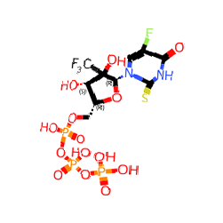 O=c1[nH]c(=S)n([C@@H]2O[C@H](COP(=O)(O)OP(=O)(O)OP(=O)(O)O)[C@H](O)C2(O)C(F)(F)F)cc1F